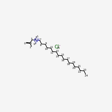 C=C(C)C[N+](C)(C)CCCCCCCCCCCCCCCCCC.[Cl-]